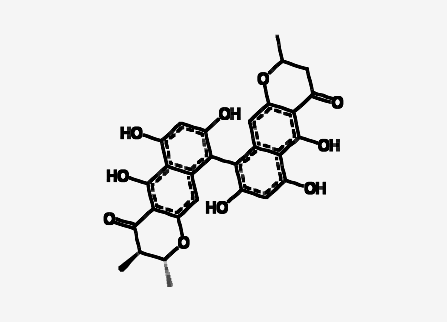 CC1CC(=O)c2c(cc3c(-c4c(O)cc(O)c5c(O)c6c(cc45)O[C@H](C)[C@@H](C)C6=O)c(O)cc(O)c3c2O)O1